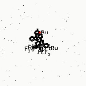 Cc1ccc(C2=N/C(=C(/CC(C(F)(F)F)C(F)(F)F)c3c(-c4ccc(C(C)(C)C)cc4)cc(-c4ccc(C(C)(C)C)cc4)n3B(OCC(F)(F)C(F)(F)F)OCC(F)(F)C(F)(F)F)c3ccccc32)cc1